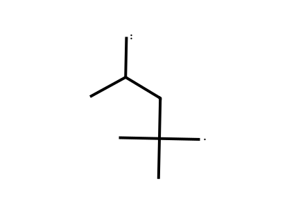 [CH]C(C)CC([CH2])(C)C